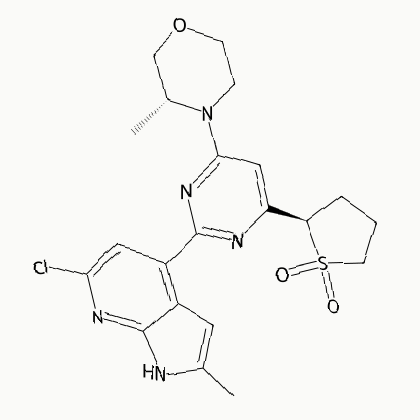 Cc1cc2c(-c3nc([C@H]4CCCS4(=O)=O)cc(N4CCOC[C@H]4C)n3)cc(Cl)nc2[nH]1